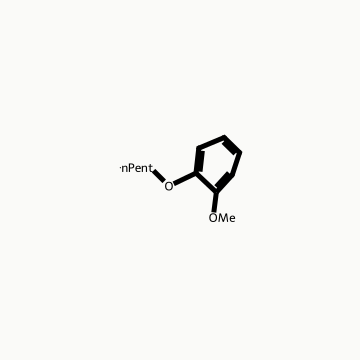 CCCC[CH]Oc1ccccc1OC